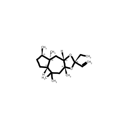 C=C[C@@]1(CC)O[C@H]2C[C@]3(C)[C@H](C)CC[C@H]3C(C)(C)C[C@@]2(C)O1